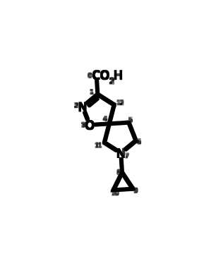 O=C(O)C1=NOC2(CCN(C3CC3)C2)C1